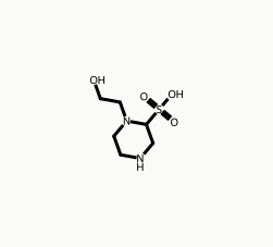 O=S(=O)(O)C1CNCCN1CCO